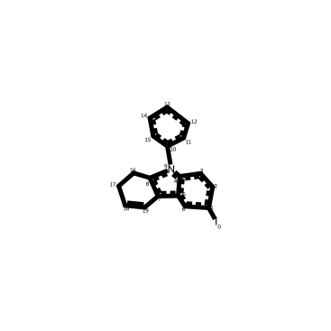 Ic1ccc2c(c1)c1c(n2-c2ccccc2)CCC=C1